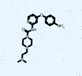 CN(C)CCN1CCN(C(=O)Nc2cc(Oc3ccc(N)cc3)ccn2)CC1